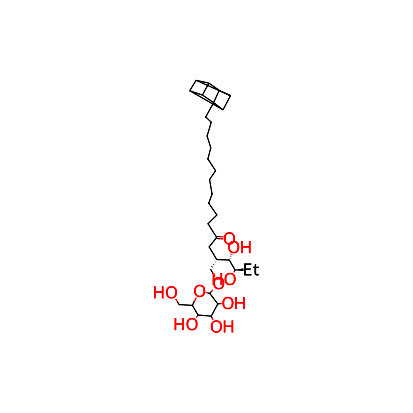 CC[C@@H](O)[C@@H](O)[C@H](COC1OC(CO)C(O)C(O)C1O)CC(=O)CCCCCCCCCCCC12C3C4C5C3C1C5C42